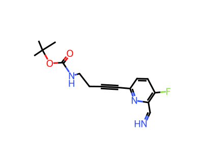 CC(C)(C)OC(=O)NCCC#Cc1ccc(F)c(C=N)n1